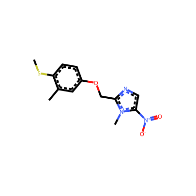 CSc1ccc(OCc2ncc([N+](=O)[O-])n2C)cc1C